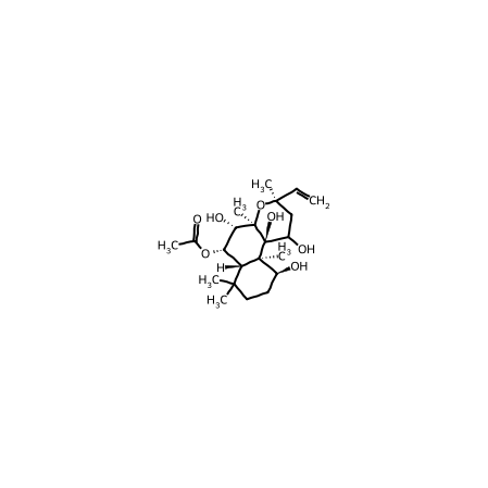 C=C[C@@]1(C)CC(O)[C@]2(O)[C@@]3(C)[C@@H](O)CCC(C)(C)[C@@H]3[C@H](OC(C)=O)[C@H](O)[C@@]2(C)O1